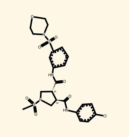 CS(=O)(=O)N1C[C@H](C(=O)Nc2ccc(Cl)cc2)[C@@H](C(=O)Nc2cccc(S(=O)(=O)N3CCOCC3)c2)C1